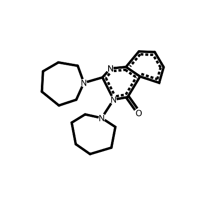 O=c1c2ccccc2nc(N2CCCCCC2)n1N1CCCCCC1